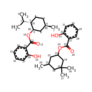 CC(C)[C@@H]1CC[C@@H](C)C[C@H]1OC(=O)c1ccccc1O.CC1CC(OC(=O)c2ccccc2O)CC(C)(C)C1